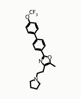 Cc1oc(-c2ccc(-c3ccc(OC(F)(F)F)cc3)cc2)nc1CCN1CCCC1